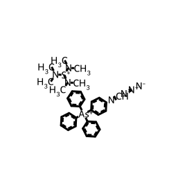 C#N.CN(C)[S+](N(C)C)N(C)C.[N-]=[N+]=[N-].c1ccc([As+](c2ccccc2)(c2ccccc2)c2ccccc2)cc1